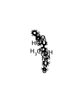 Cn1cc(-c2ccnc(-n3ncc4c5c(sc4c3=O)CCCC5)c2CO)cc(Nc2cnc(N3CCN(C4COC4)CC3)cn2)c1=O